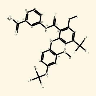 CCc1cc(C(F)(F)F)cc(Oc2ccc(OC(F)(F)F)cc2OC)c1C(=O)Nc1ccnc(C(N)=O)c1